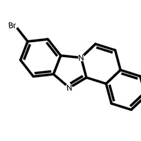 Brc1ccc2nc3c4ccccc4ccn3c2c1